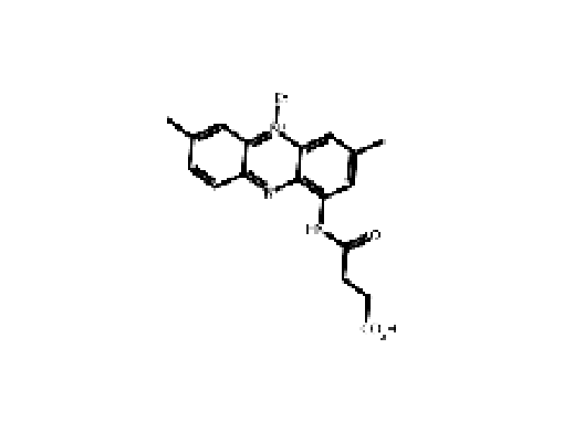 CC[n+]1c2cc(C)ccc2nc2c(NC(=O)CCC(=O)O)cc(C)cc21